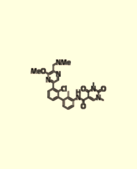 CNCc1ncc(-c2cccc(-c3cccc(NC(=O)c4cn(C)c(=O)n(C)c4=O)c3C)c2Cl)nc1OC